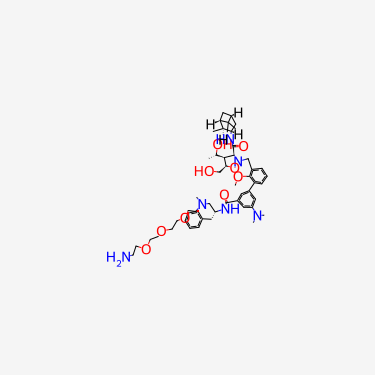 COc1c(CN2O[C@@H](CO)[C@@H]([C@H](C)O)[C@H]2C(=O)N[C@H]2C[C@H]3C[C@@H]([C@@H]2C)C3(C)C)cccc1-c1cc(C(=O)N[C@H](Cc2ccccc2)CN(C)CCOCCOCCOCCN)cc(N(C)C)c1